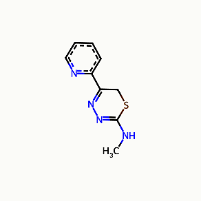 CNC1=NN=C(c2ccccn2)CS1